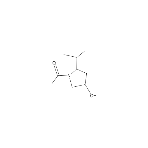 CC(=O)N1CC(O)CC1C(C)C